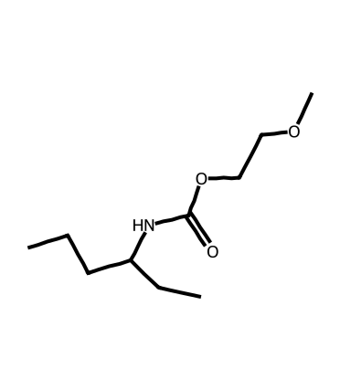 CCCC(CC)NC(=O)OCCOC